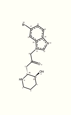 O=C(C[C@H]1NCCC[C@@H]1O)Cn1cnc2ccc(Br)cc21